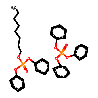 CCCCCCCCOP(=O)(Oc1ccccc1)Oc1ccccc1.O=P(Oc1ccccc1)(Oc1ccccc1)Oc1ccccc1